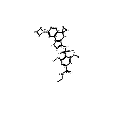 CCNC(=O)c1cc(OC)c(S(=O)(=O)Nc2noc3c2CC2(CC2)c2ccc(N4CCC4)cc2-3)c(OC)c1